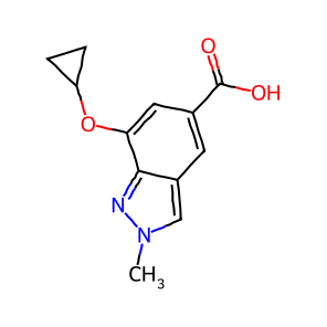 Cn1cc2cc(C(=O)O)cc(OC3CC3)c2n1